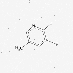 Cc1cnc(I)c(F)c1